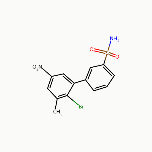 Cc1cc([N+](=O)[O-])cc(-c2cccc(S(N)(=O)=O)c2)c1Br